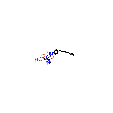 CCCCCCCCc1ccc(N(C)C(=O)N[C@H](CC(=O)O)C[N+](C)(C)C)cc1